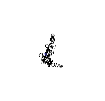 COc1c(C)cnc(CN2C(=O)/C(=C\c3cc(C(=O)NCCN4CCC(=O)CC4)c[nH]3)c3c(Cl)nc(N)nc32)c1C